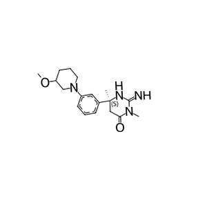 COC1CCCN(c2cccc([C@]3(C)CC(=O)N(C)C(=N)N3)c2)C1